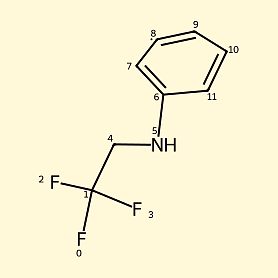 FC(F)(F)CNc1c[c]ccc1